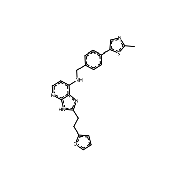 Cc1ncc(-c2ccc(CNc3ccnc4[nH]c(CCc5ccco5)nc34)cc2)s1